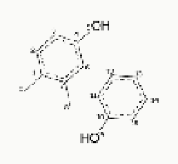 Cc1ccc(O)cc1C.Oc1ccccc1